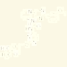 CC1(C)OCC(COc2nccc(NC(=O)N3c4nc(-c5cccc(C(F)(F)F)c5)ncc4N4CCC[C@H]3C4)n2)O1